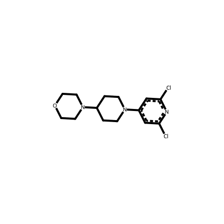 Clc1cc(N2CCC(N3CCOCC3)CC2)cc(Cl)n1